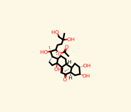 CC(=O)OC(CCC(C)(O)CO)[C@](C)(O)[C@H]1CC[C@@]2(O)C3=CC(=O)[C@@H]4C[C@@H](O)[C@@H](O)C[C@]4(C)[C@H]3CC[C@]12C